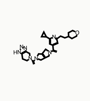 C=C(c1cc(CCC2CCOCC2)nc(C2CC2)c1)N1CC2=C(C1)CN(C(=C)N1CCc3[nH]nnc3C1)C2